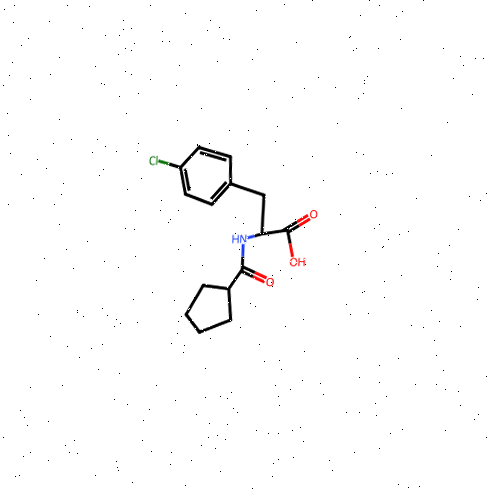 O=C(NC(Cc1ccc(Cl)cc1)C(=O)O)C1CCCC1